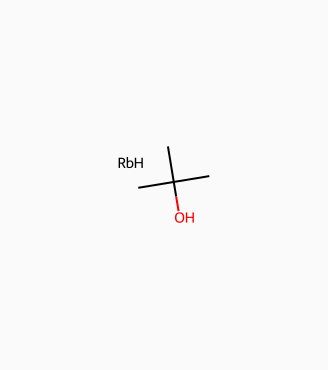 CC(C)(C)O.[RbH]